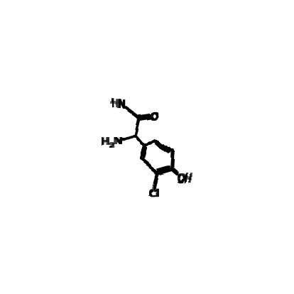 [NH]C(=O)C(N)c1ccc(O)c(Cl)c1